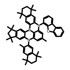 Cc1cc2c3c(c1)N(c1cccc4c1oc1ccccc14)c1cc4c(cc1B3c1cc3c(cc1N2c1cc2c(cc1C)C(C)(C)CCC2(C)C)C(C)(C)CC3(C)C)C(C)(C)CCC4(C)C